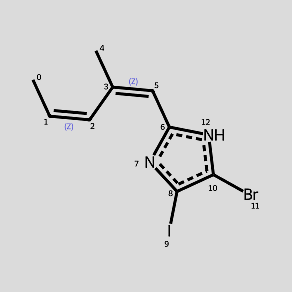 C/C=C\C(C)=C/c1nc(I)c(Br)[nH]1